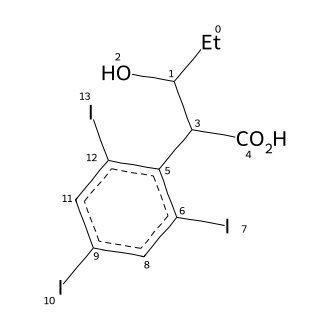 CCC(O)C(C(=O)O)c1c(I)cc(I)cc1I